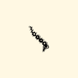 CCCCCC1CCC(c2ccc(-c3ccc(C4CCC(C)(C(=O)OCCC)CC4)cc3)cc2)CC1